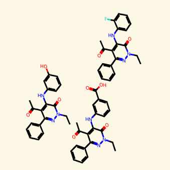 CCn1nc(-c2ccccc2)c(C(C)=O)c(Nc2cccc(C(=O)O)c2)c1=O.CCn1nc(-c2ccccc2)c(C(C)=O)c(Nc2cccc(O)c2)c1=O.CCn1nc(-c2ccccc2)c(C(C)=O)c(Nc2ccccc2F)c1=O